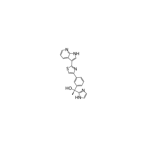 C[C@@](O)(c1cccc(-c2csc(-c3c[nH]c4ncccc34)n2)c1)c1ncc[nH]1